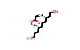 C=CC(=O)OCCCCCCCCCC.OCCCCCCCCCCO